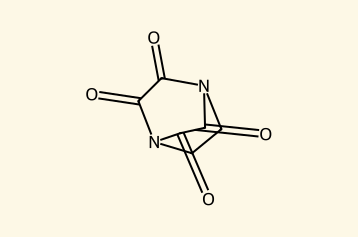 O=C1C(=O)N2CCN1C(=O)C2=O